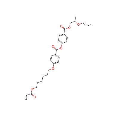 C=CC(=O)OCCCCCCOc1ccc(C(=O)Oc2ccc(C(=O)OCC(C)OCCC)cc2)cc1